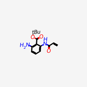 C=CC(=O)Nc1cccc(N)c1C(=O)OC(C)(C)C